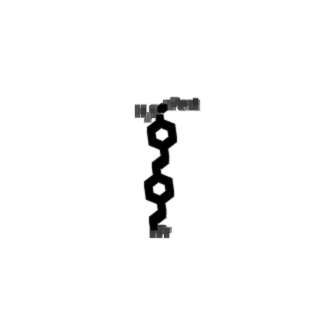 CCCC=CC1CCC(C=CC2CCC([SiH2]CCCCC)CC2)CC1